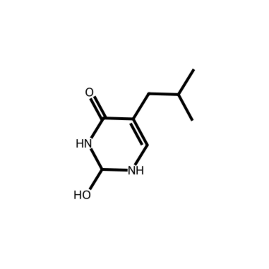 CC(C)CC1=CNC(O)NC1=O